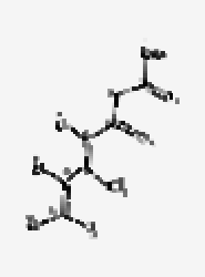 COC(=O)CC(=O)C(Cl)=C(Cl)C(Cl)=C(Cl)Cl